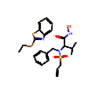 C=CCS(=O)(=O)N(Cc1ccccc1)C(C(=O)NO)C(C)C.CCSc1nc2ccccc2s1